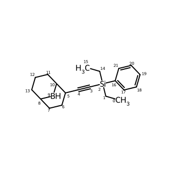 CC[Si](C#CC1CCC2BC1CCC2)(CC)c1ccccc1